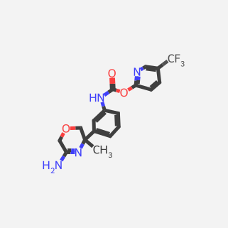 CC1(c2cccc(NC(=O)Oc3ccc(C(F)(F)F)cn3)c2)COCC(N)=N1